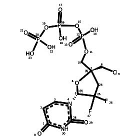 O=c1ccn([C@@H]2O[C@](CCl)(COP(=O)(O)OP(=O)(O)OP(=O)(O)O)CC2(F)F)c(=O)[nH]1